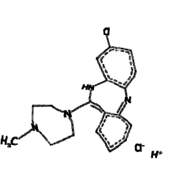 CN1CCN(C2=c3ccccc3=Nc3ccc(Cl)cc3N2)CC1.[Cl-].[H+]